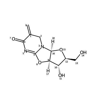 C=C1CN2C(=NC1=O)O[C@@H]1[C@@H](O)[C@H](CO)O[C@@H]12